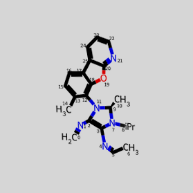 C=NC1=C(/N=C\C)N(C(C)C)[C@H](C)N1c1c(C)ccc2c1oc1ncccc12